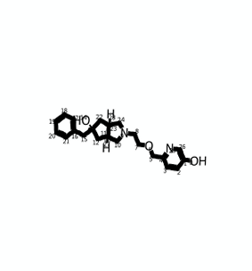 Oc1ccc(COCCN2C[C@@H]3C[C@@](O)(Cc4ccccc4)C[C@@H]3C2)nc1